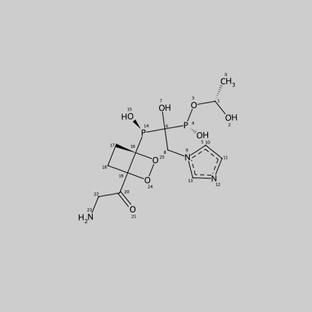 C[C@H](O)O[P@](O)C(O)(Cn1ccnc1)[P@](O)[C@@]12CCC1(C(=O)CN)OO2